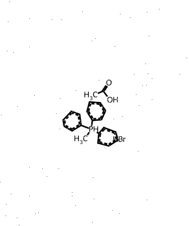 Br.CC(=O)O.C[PH](c1ccccc1)(c1ccccc1)c1ccccc1